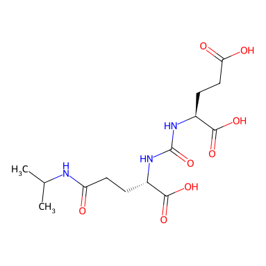 CC(C)NC(=O)CC[C@H](NC(=O)N[C@@H](CCC(=O)O)C(=O)O)C(=O)O